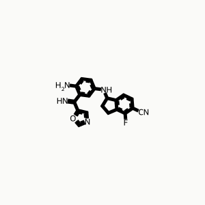 N#Cc1ccc2c(c1F)CCC2Nc1ccc(N)c(C(=N)c2cnco2)c1